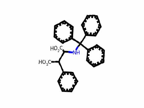 O=C(O)C(NC(c1ccccc1)(c1ccccc1)c1ccccc1)C(C(=O)O)c1ccccc1